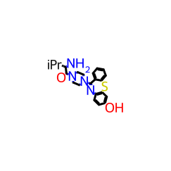 CC(C)C(N)C(=O)N1CCN(C2=Nc3ccc(O)cc3Sc3ccccc32)CC1